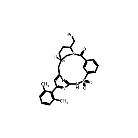 Cc1cccc(C)c1-c1cc2nc(n1)NS(=O)(=O)c1cccc(c1)C(=O)N1C[C@@H](CCC1CC(C)C)C2